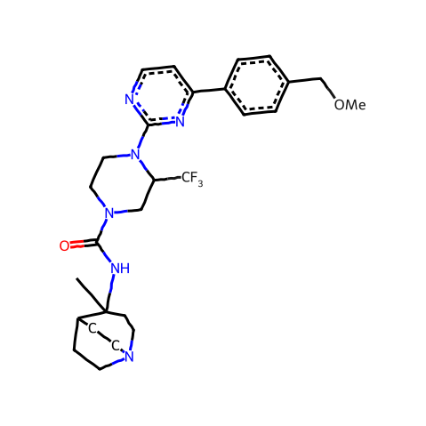 COCc1ccc(-c2ccnc(N3CCN(C(=O)NC4(C)CCN5CCC4CC5)CC3C(F)(F)F)n2)cc1